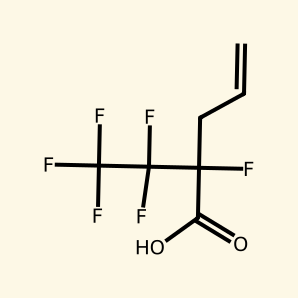 C=CCC(F)(C(=O)O)C(F)(F)C(F)(F)F